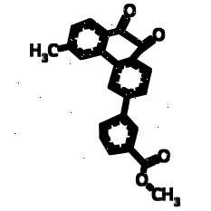 COC(=O)c1cccc(-c2ccc3c(c2)-c2cc(C)ccc2C(=O)C3=O)c1